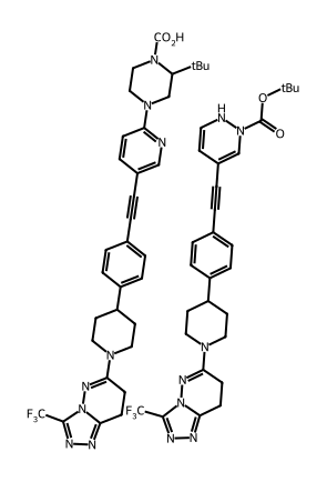 CC(C)(C)C1CN(c2ccc(C#Cc3ccc(C4CCN(C5=Nn6c(nnc6C(F)(F)F)CC5)CC4)cc3)cn2)CCN1C(=O)O.CC(C)(C)OC(=O)N1C=C(C#Cc2ccc(C3CCN(C4=Nn5c(nnc5C(F)(F)F)CC4)CC3)cc2)C=CN1